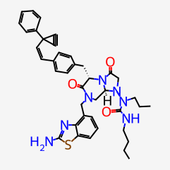 CCCCNC(=O)N(CCC)N1CC(=O)N2[C@@H](Cc3ccc(/C=C\C4(c5ccccc5)C#C4)cc3)C(=O)N(Cc3cccc4sc(N)nc34)C[C@@H]21